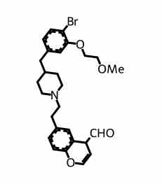 COCCOc1cc(CC2CCN(CCc3ccc4c(c3)C(C=O)C=CO4)CC2)ccc1Br